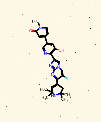 Cn1ccc(-c2cnc(-c3cn4cc(F)c(C5=CC(C)(C)NC(C)(C)C5)nc4n3)c(O)c2)cc1=O